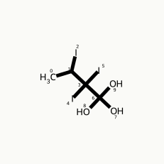 CC(I)C(I)(I)C(O)(O)O